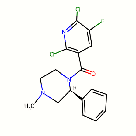 CN1CCN(C(=O)c2cc(F)c(Cl)nc2Cl)[C@@H](c2ccccc2)C1